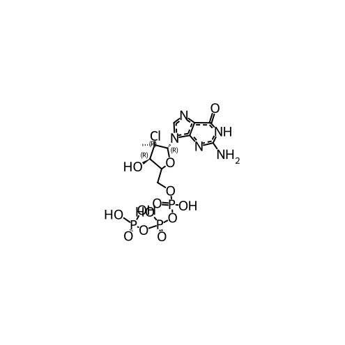 C[C@@]1(Cl)[C@H](O)C(COP(=O)(O)OP(=O)(O)OP(=O)(O)O)O[C@H]1n1cnc2c(=O)[nH]c(N)nc21